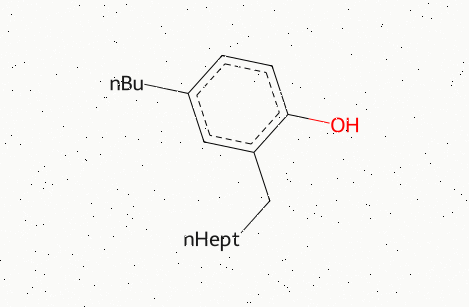 CCCCCCCCc1cc(CCCC)ccc1O